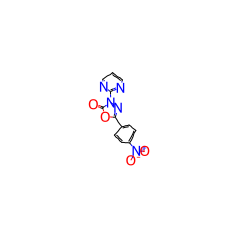 O=c1oc(-c2ccc([N+](=O)[O-])cc2)nn1-c1ncccn1